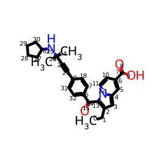 CCc1cc2cc(C(=O)O)ccn2c1C(=O)c1ccc(C#CC(C)(C)NC2CCCC2)cc1